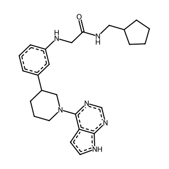 O=C(CNc1cccc(C2CCCN(c3ncnc4[nH]ccc34)C2)c1)NCC1CCCC1